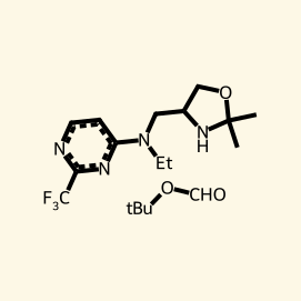 CC(C)(C)OC=O.CCN(CC1COC(C)(C)N1)c1ccnc(C(F)(F)F)n1